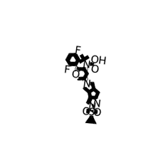 CC(C)(C)N(C(=O)O)[C@H]1C[C@@H](N2CC3Cc4nn(S(=O)(=O)C5CC5)cc4C3C2)CO[C@@H]1c1cc(F)ccc1F